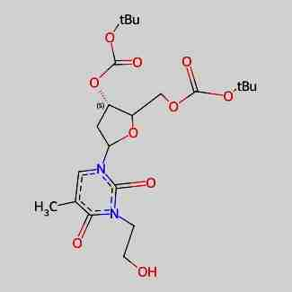 Cc1cn(C2C[C@H](OC(=O)OC(C)(C)C)C(COC(=O)OC(C)(C)C)O2)c(=O)n(CCO)c1=O